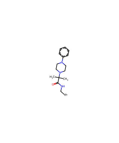 CC(C)CNC(=O)C(C)(C)N1CCN(c2ccccc2)CC1